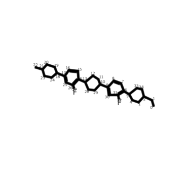 CCC1CCC(c2ccc(C3CCC(c4ccc(C5CCC(C)CC5)cc4F)CC3)cc2F)CC1